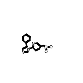 O=[SH](=O)Cc1ccc(-n2cncc2-c2ccccc2)nc1